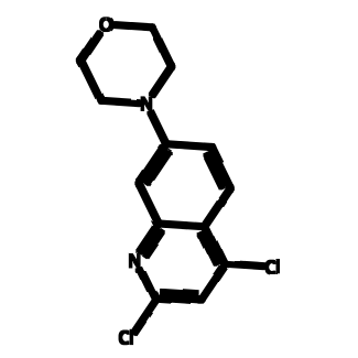 Clc1cc(Cl)c2ccc(N3CCOCC3)cc2n1